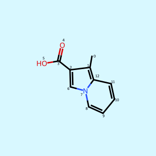 Cc1c(C(=O)O)cn2ccccc12